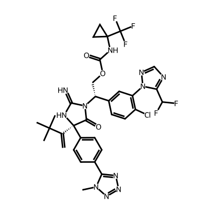 C=C(C(C)(C)C)[C@]1(c2ccc(-c3nnnn3C)cc2)NC(=N)N([C@H](COC(=O)NC2(C(F)(F)F)CC2)c2ccc(Cl)c(-n3ncnc3C(F)F)c2)C1=O